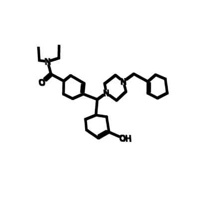 CCN(CC)C(=O)C1CC=C(C(C2CCC=C(O)C2)N2CCN(CC3=CCCCC3)CC2)CC1